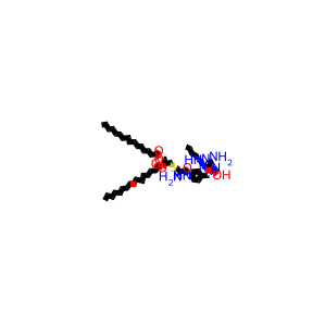 CCCCCCCCCCCCCCCC(=O)OCC(CSC[C@H](N)C(=O)Nc1ccc(Cn2c(O)nc3c(N)nc(NCCCC)nc32)cc1)OC(=O)CCCCCCCCCCCCCCC